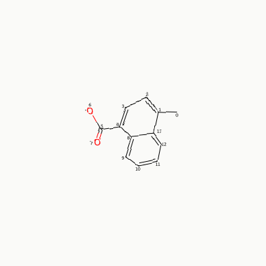 Cc1ccc(C([O])=O)c2ccccc12